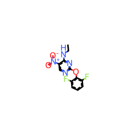 CCNc1nc(Oc2c(F)cccc2F)ncc1[N+](=O)[O-]